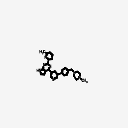 Cc1cccc(-c2nc(-c3cncc(-c4ccc(CN5CCN(C)CC5)cc4)c3)c3cc[nH]c3n2)n1